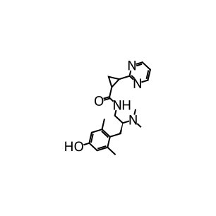 Cc1cc(O)cc(C)c1C[C@@H](CNC(=O)C1CC1c1ncccn1)N(C)C